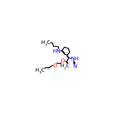 C=C(OCCOCCCC)/C(NC#N)=C1\C=C(NCCCC)CCC1